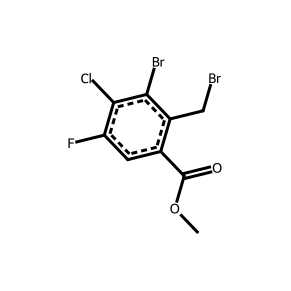 COC(=O)c1cc(F)c(Cl)c(Br)c1CBr